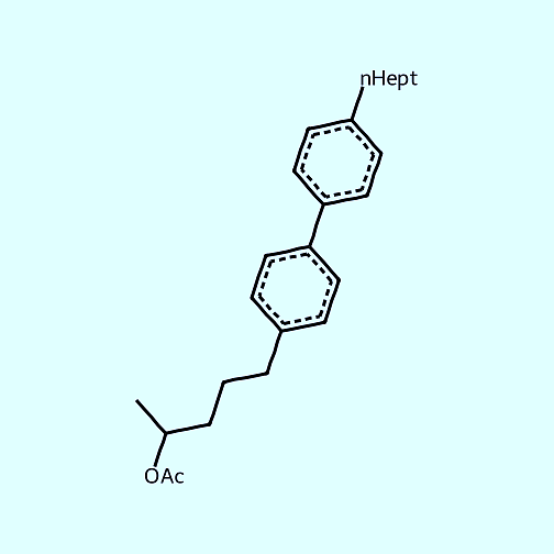 CCCCCCCc1ccc(-c2ccc(CCCC(C)OC(C)=O)cc2)cc1